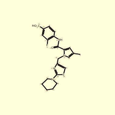 Cc1cc(C(=O)Nc2ccc(C(=O)O)cc2F)n(Cc2csc(N3CCCCC3)n2)c1